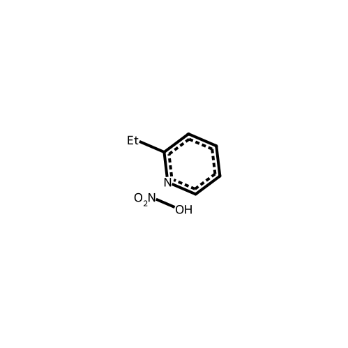 CCc1ccccn1.O=[N+]([O-])O